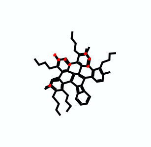 CCCCc1c(C)ccc(-c2c(-c3ccc(C)c(CCCC)c3CCCC)c(-c3ccc(C)c(CCCC)c3CCCC)c3c(c2-c2ccc(C)c(CCCC)c2CCCC)=c2ccccc2=3)c1CCCC